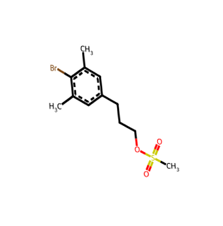 Cc1cc(CCCOS(C)(=O)=O)cc(C)c1Br